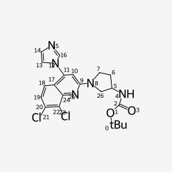 CC(C)(C)OC(=O)NC1CCN(c2cc(-n3ccnc3)c3ccc(Cl)c(Cl)c3n2)C1